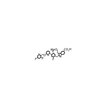 COCCn1c(Cc2cc(F)c(-c3cccc(OCc4ncc(F)cc4F)n3)cc2F)nc2ccc(C(=O)O)cc21